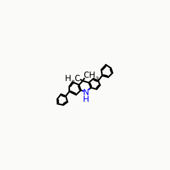 CC1(C)c2ccc(-c3ccccc3)cc2Nc2ccc(-c3ccccc3)cc21